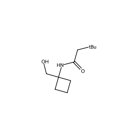 CC(C)(C)CC(=O)NC1(CO)CCC1